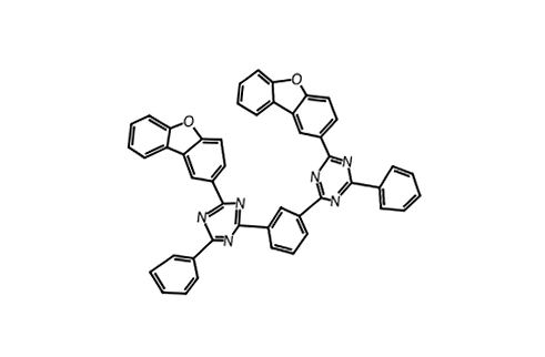 c1ccc(-c2nc(-c3cccc(-c4nc(-c5ccccc5)nc(-c5ccc6oc7ccccc7c6c5)n4)c3)nc(-c3ccc4oc5ccccc5c4c3)n2)cc1